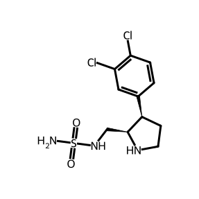 NS(=O)(=O)NC[C@@H]1NCC[C@@H]1c1ccc(Cl)c(Cl)c1